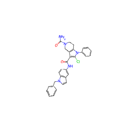 NC(=O)N1CCc2c(c(C(=O)Nc3ccc4c(ccn4Cc4ccccc4)c3)c(Cl)n2-c2ccccc2)C1